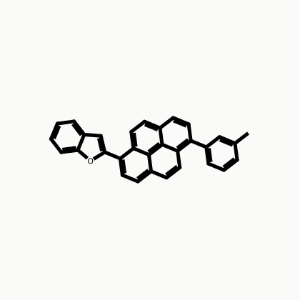 Cc1cccc(-c2ccc3ccc4c(-c5cc6ccccc6o5)ccc5ccc2c3c54)c1